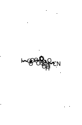 N#CCCC(=O)N[C@H]1Cc2cccc(C(=O)OCOC(=O)OCCCI)c2OB1O